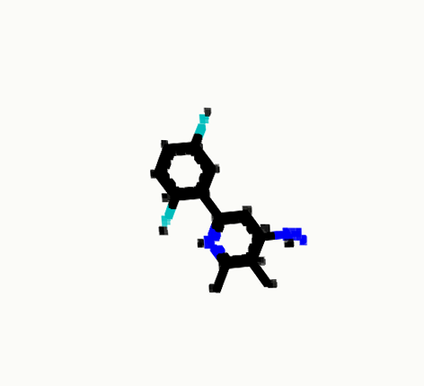 Cc1nc(-c2cc(F)ccc2F)cc(N)c1C